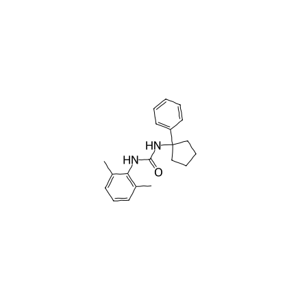 Cc1cccc(C)c1NC(=O)NC1(c2ccccc2)CCCC1